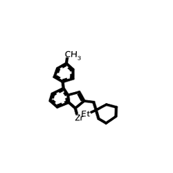 CCC1(CC2=Cc3c(-c4ccc(C)cc4)cccc3[CH]2[Zr])CCCCC1